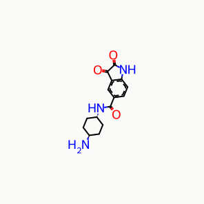 N[C@H]1CC[C@H](NC(=O)c2ccc3c(c2)C(=O)C(=O)N3)CC1